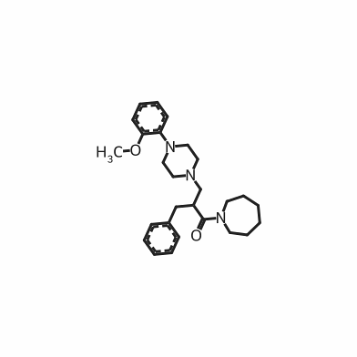 COc1ccccc1N1CCN(CC(Cc2ccccc2)C(=O)N2CCCCCC2)CC1